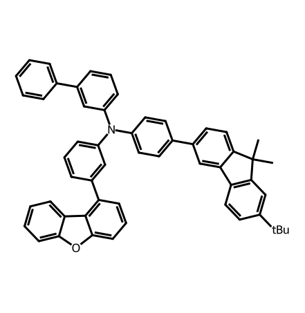 CC(C)(C)c1ccc2c(c1)C(C)(C)c1ccc(-c3ccc(N(c4cccc(-c5ccccc5)c4)c4cccc(-c5cccc6oc7ccccc7c56)c4)cc3)cc1-2